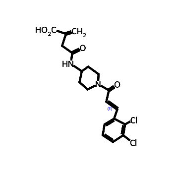 C=C(CC(=O)NC1CCN(C(=O)/C=C/c2cccc(Cl)c2Cl)CC1)C(=O)O